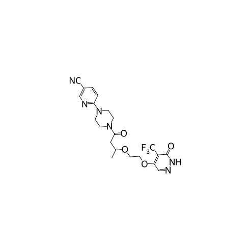 CC(CC(=O)N1CCN(c2ccc(C#N)cn2)CC1)OCCOc1cn[nH]c(=O)c1C(F)(F)F